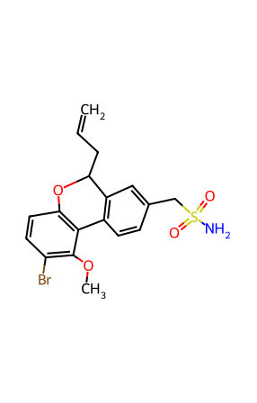 C=CCC1Oc2ccc(Br)c(OC)c2-c2ccc(CS(N)(=O)=O)cc21